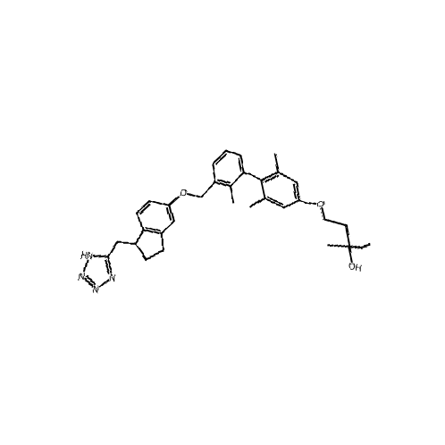 Cc1cc(OCCC(C)(C)O)cc(C)c1-c1cccc(COc2ccc3c(c2)CCC3Cc2nnn[nH]2)c1C